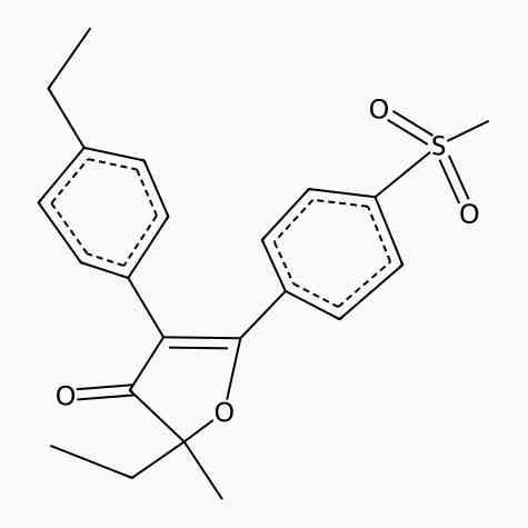 CCc1ccc(C2=C(c3ccc(S(C)(=O)=O)cc3)OC(C)(CC)C2=O)cc1